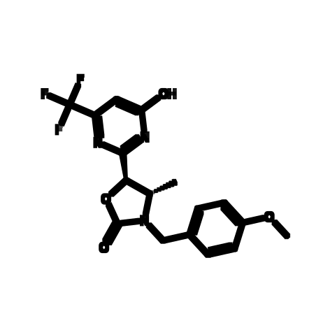 COc1ccc(CN2C(=O)O[C@@H](c3nc(O)cc(C(F)(F)F)n3)[C@@H]2C)cc1